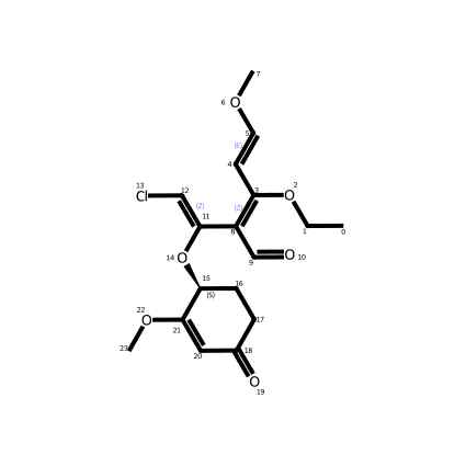 CCOC(/C=C/OC)=C(C=O)/C(=C/Cl)O[C@H]1CCC(=O)C=C1OC